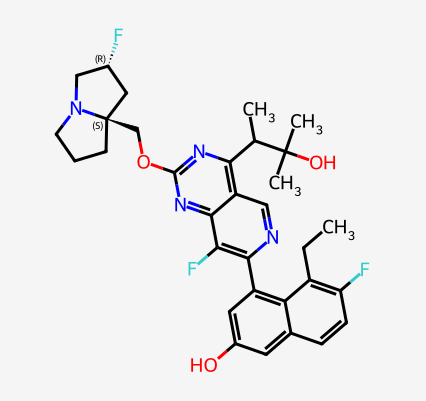 CCc1c(F)ccc2cc(O)cc(-c3ncc4c(C(C)C(C)(C)O)nc(OC[C@@]56CCCN5C[C@H](F)C6)nc4c3F)c12